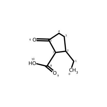 CCC1CCC(=O)C1C(=O)O